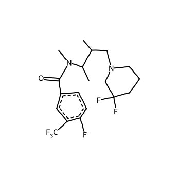 CC(CN1CCCC(F)(F)C1)C(C)N(C)C(=O)c1ccc(F)c(C(F)(F)F)c1